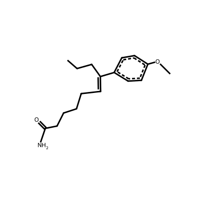 CCCC(=CCCCCC(N)=O)c1ccc(OC)cc1